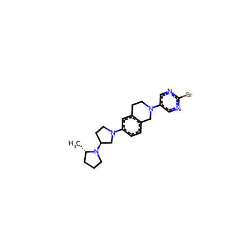 C[C@H]1CCCN1[C@H]1CCN(c2ccc3c(c2)CCN(c2cnc(Br)nc2)C3)C1